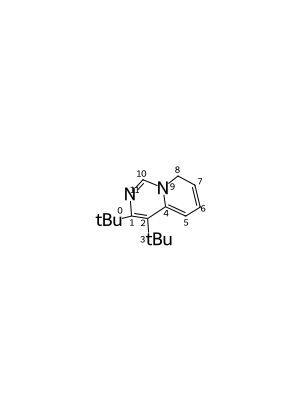 CC(C)(C)C1=C(C(C)(C)C)C2=CC=CCN2C=N1